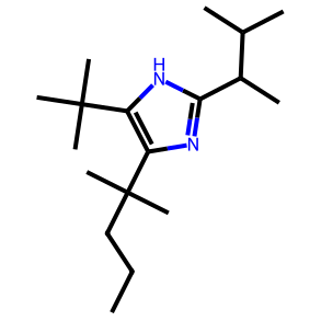 CCCC(C)(C)c1nc(C(C)C(C)C)[nH]c1C(C)(C)C